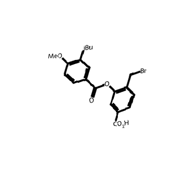 CCC(C)c1cc(C(=O)Oc2cc(C(=O)O)ccc2CBr)ccc1OC